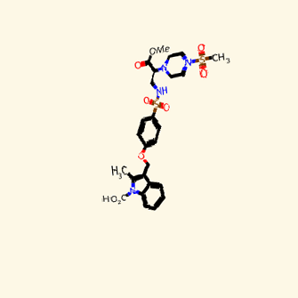 COC(=O)[C@H](CNS(=O)(=O)c1ccc(OCc2c(C)n(C(=O)O)c3ccccc23)cc1)N1CCN(S(C)(=O)=O)CC1